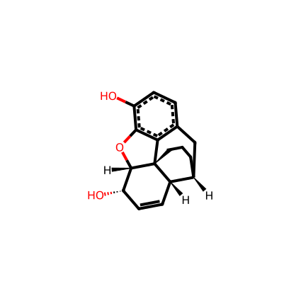 Oc1ccc2c3c1O[C@H]1[C@@H](O)C=C[C@H]4[C@H](CCC[C@@]341)C2